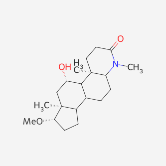 CO[C@H]1CCC2C3CCC4N(C)C(=O)CC[C@]4(C)C3[C@@H](O)C[C@@]21C